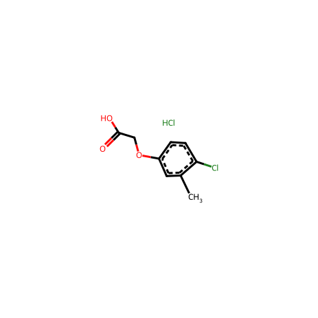 Cc1cc(OCC(=O)O)ccc1Cl.Cl